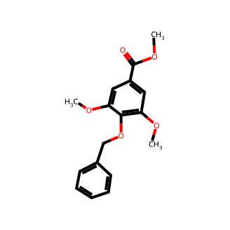 COC(=O)c1cc(OC)c(OCc2ccccc2)c(OC)c1